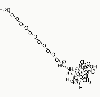 CCC1CC(C(=O)NCCNC(=O)CCOCCOCCOCCOCCOCCOCCOCCOCCOCCOCCOCCOC)C[C@@H](O[C@@H]2O[C@@H](CO)[C@H](O)C(O[C@@H](CC3CCCCC3)C(=O)O)C2NC(C)=O)[C@H]1OC1O[C@@H](C)[C@H](O)C(O)[C@@H]1O